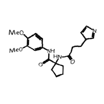 COc1ccc(NC(=O)C2(NC(=O)CCC3C=CN=C3)CCCC2)cc1OC